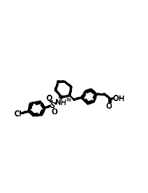 O=C(O)Cc1ccc(C[C@@H]2CCCC[C@H]2NS(=O)(=O)c2ccc(Cl)cc2)cc1